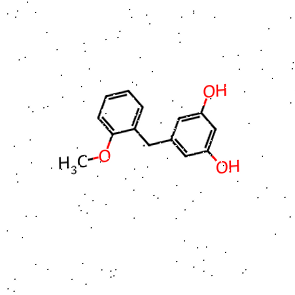 COc1ccccc1[CH]c1cc(O)cc(O)c1